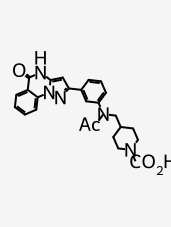 CC(=O)N(CC1CCN(C(=O)O)CC1)c1cccc(-c2cc3[nH]c(=O)c4ccccc4n3n2)c1